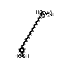 C[N+](C)(C)CCOP(=O)(O)OCCCCCCCCCCCCCCCCCCc1ccc(B(O)O)cc1